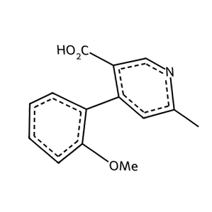 COc1ccccc1-c1cc(C)ncc1C(=O)O